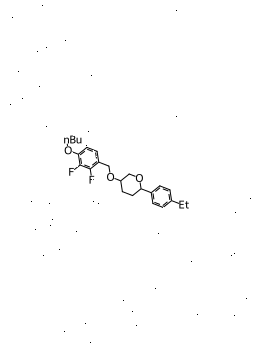 CCCCOc1ccc(COC2CCC(c3ccc(CC)cc3)OC2)c(F)c1F